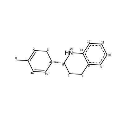 CC1=CCC([C@H]2CCc3ccccc3N2)C=C1